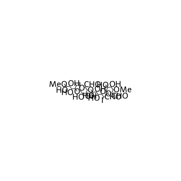 COC(O)C(O)C(O)C(OC1OC(C=O)C(OC(O)C(O)C(O)C(OC2OC(C=O)C(OC)C(O)C2O)C(I)C=O)C(O)C1O)C(C)I